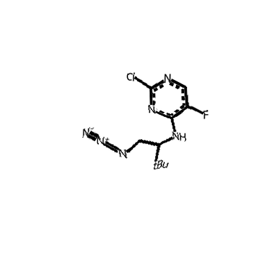 CC(C)(C)C(CN=[N+]=[N-])Nc1nc(Cl)ncc1F